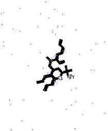 C=C/C=C\C=C(/C=C)C(C)CC1CC(C(C)(C)CCC)OC(=C/C=C)/C1=C\C=C